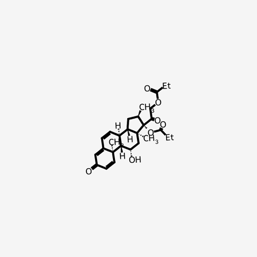 CCC(=O)OCC(=O)[C@]1(OC(=O)CC)[C@H](C)C[C@H]2[C@@H]3C=CC4=CC(=O)C=C[C@]4(C)[C@H]3[C@@H](O)C[C@@]21C